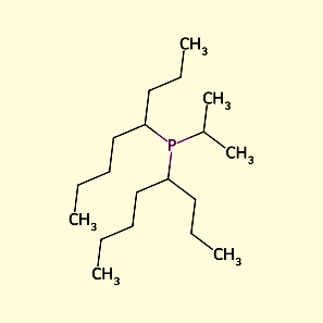 CCCCC(CCC)P(C(C)C)C(CCC)CCCC